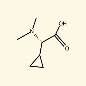 CN(C)[C@H](C(=O)O)C1CC1